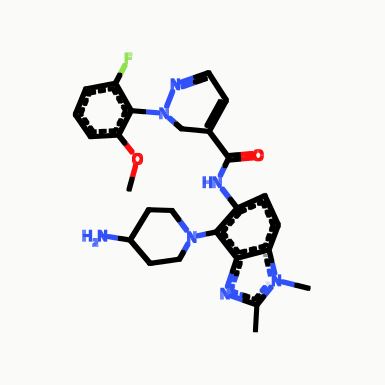 COc1cccc(F)c1N1CC(C(=O)Nc2ccc3c(nc(C)n3C)c2N2CCC(N)CC2)=CC=N1